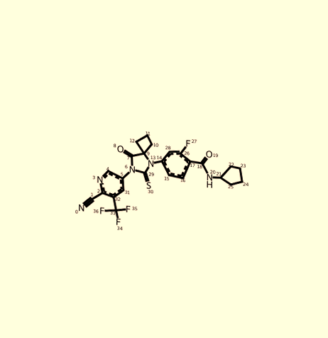 N#Cc1ncc(N2C(=O)C3(CCC3)N(c3ccc(C(=O)NC4CCCC4)c(F)c3)C2=S)cc1C(F)(F)F